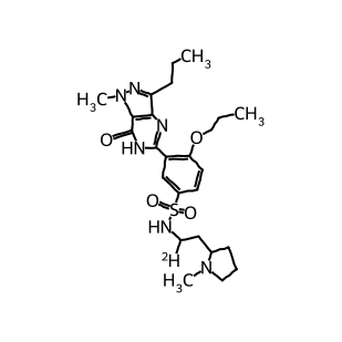 [2H]C(CC1CCCN1C)NS(=O)(=O)c1ccc(OCCC)c(-c2nc3c(CCC)nn(C)c3c(=O)[nH]2)c1